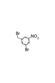 O=[N+]([O-])c1cc(Br)cc(CBr)c1